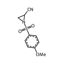 COc1ccc(S(=O)(=O)N2CC2C#N)cc1